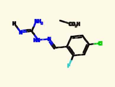 CC(=O)O.[H]/N=C(\N)NN=Cc1ccc(Cl)cc1F